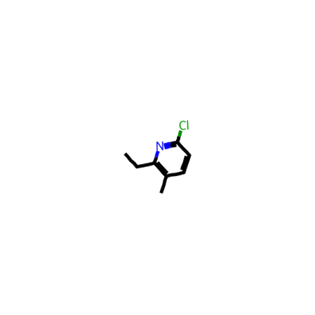 CCc1nc(Cl)ccc1C